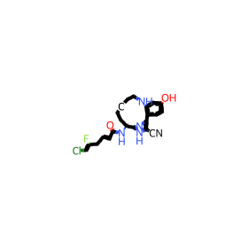 N#Cc1[nH]c2nc1-c1ccc(O)cc1NCCCCC[C@@H]2NC(=O)/C=C/C/C(F)=C/Cl